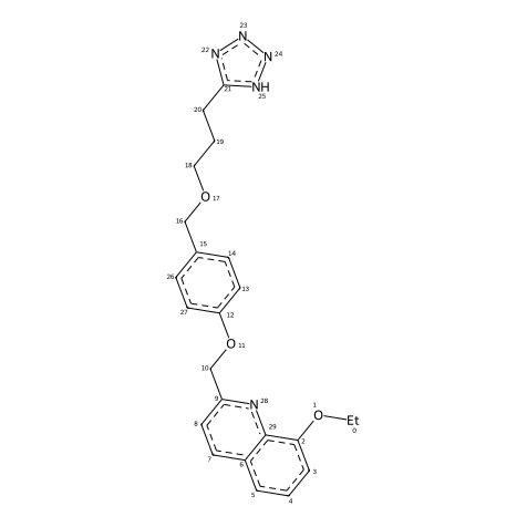 CCOc1cccc2ccc(COc3ccc(COCCCc4nnn[nH]4)cc3)nc12